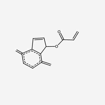 C=CC(=O)OC1C=Cc2c1c(=C)ccc2=C